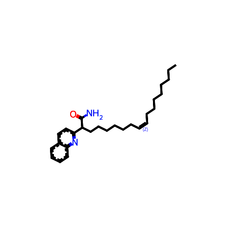 CCCCCCCC/C=C\CCCCCCC(C(N)=O)c1ccc2ccccc2n1